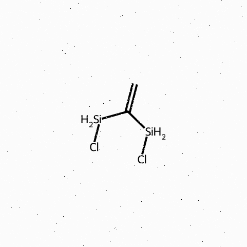 C=C([SiH2]Cl)[SiH2]Cl